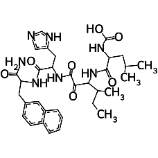 CCC(C)C(NC(=O)C(CC(C)C)NC(=O)O)C(=O)C(=O)NC(Cc1cnc[nH]1)C(=O)NC(Cc1ccc2ccccc2c1)C(N)=O